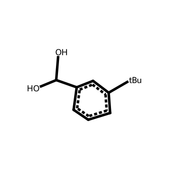 CC(C)(C)c1cccc(C(O)O)c1